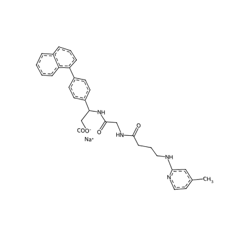 Cc1ccnc(NCCCC(=O)NCC(=O)NC(CC(=O)[O-])c2ccc(-c3cccc4ccccc34)cc2)c1.[Na+]